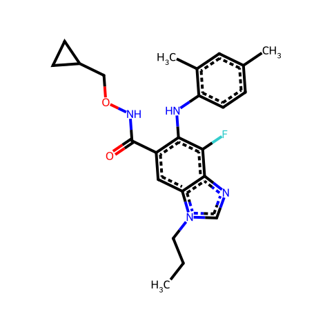 CCCn1cnc2c(F)c(Nc3ccc(C)cc3C)c(C(=O)NOCC3CC3)cc21